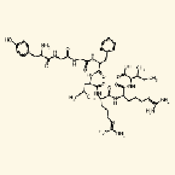 CCC(C)C(NC(=O)C(CCCN=C(N)N)NC(=O)C(CCCN=C(N)N)NC(=O)C(CC(C)C)NC(=O)C(Cc1ccccc1)NC(=O)CNC(=O)CNC(=O)C(N)Cc1ccc(O)cc1)C(=O)O